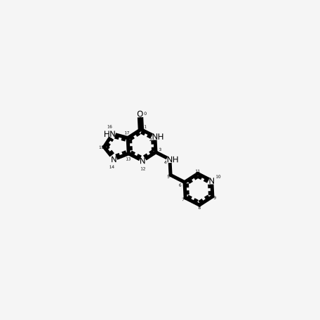 O=c1[nH]c(NCc2cccnc2)nc2nc[nH]c12